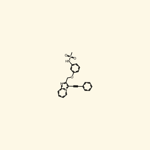 CS(=O)(=O)Nc1cccc(OCc2nc3ccccn3c2C#Cc2ccccc2)c1